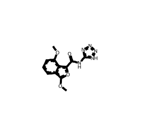 COc1oc(C(=O)Nc2nnn[nH]2)c2c(OC)cccc12